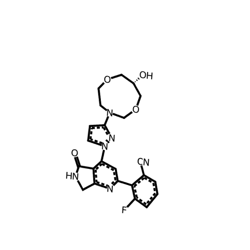 N#Cc1cccc(F)c1-c1cc(-n2ccc(N3CCOC[C@H](O)COC3)n2)c2c(n1)CNC2=O